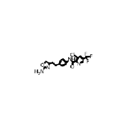 NC1=NC(CCc2ccc(NC(=O)c3ncc(C(F)(F)F)cc3Cl)cc2)CO1